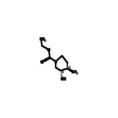 CCOC(=O)N1CC[C@@H](N)[C@H](O)C1